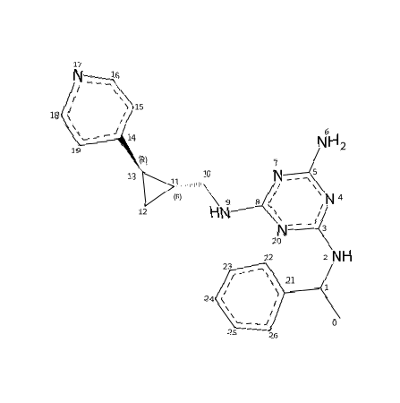 CC(Nc1nc(N)nc(NC[C@@H]2C[C@H]2c2ccncc2)n1)c1ccccc1